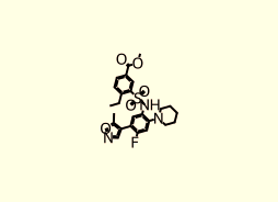 CCc1ccc(C(=O)OC)cc1S(=O)(=O)Nc1cc(-c2cnoc2C)c(F)cc1N1CCCCC1